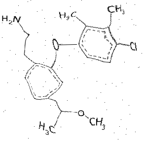 COC(C)c1ccc(CCN)c(Oc2ccc(Cl)c(C)c2C)c1